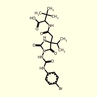 CC(C)C1(CC(=O)NC(C(=O)O)C(C)(C)C)NC(=O)N(NC(=O)Nc2ccc(Br)cc2)C1=O